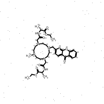 CCOC(=O)[C@H](C)NC(=O)CN1CCN(C)CCN(CC(=O)N[C@@H](C)C(=O)OCC)CCN(Cc2ccc3c(=O)c4ccccc4oc3n2)CC1